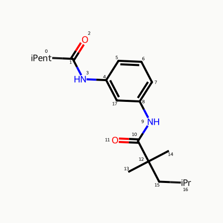 CCCC(C)C(=O)Nc1cccc(NC(=O)C(C)(C)CC(C)C)c1